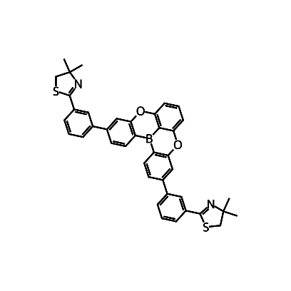 CC1(C)CSC(c2cccc(-c3ccc4c(c3)Oc3cccc5c3B4c3ccc(-c4cccc(C6=NC(C)(C)CS6)c4)cc3O5)c2)=N1